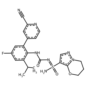 CC(C)c1cc(F)cc(-c2ccnc(C#N)c2)c1NC(=O)N=S(N)(=O)c1cnn2c1OCCC2